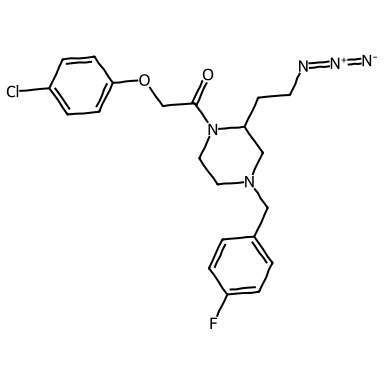 [N-]=[N+]=NCCC1CN(Cc2ccc(F)cc2)CCN1C(=O)COc1ccc(Cl)cc1